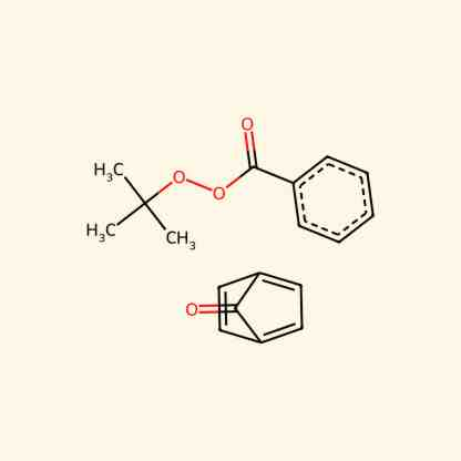 CC(C)(C)OOC(=O)c1ccccc1.O=C1C2=CC=C1C=C2